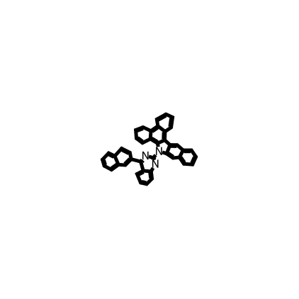 c1ccc2cc(-c3nc(-n4c5cc6ccccc6cc5c5c6ccccc6c6ccccc6c54)nc4ccccc34)ccc2c1